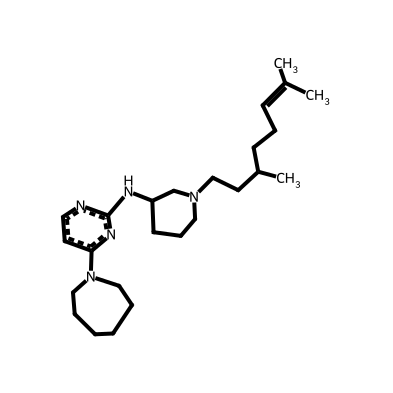 CC(C)=CCCC(C)CCN1CCCC(Nc2nccc(N3CCCCCC3)n2)C1